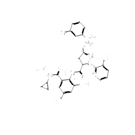 Cc1cc(Cl)cc(C(=O)N(C)C2CC2)c1NC(=O)C1CC(OS(=O)(=O)c2cccc([N+](=O)[O-])c2)=NN1c1ncccc1Cl